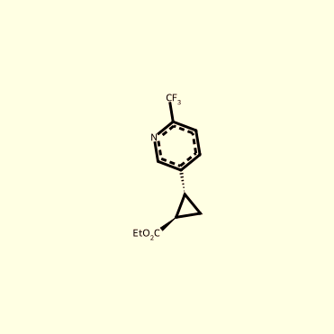 CCOC(=O)[C@@H]1C[C@H]1c1ccc(C(F)(F)F)nc1